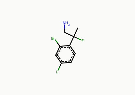 CC(F)(CN)c1ccc(F)cc1Br